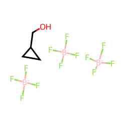 F[B-](F)(F)F.F[B-](F)(F)F.F[B-](F)(F)F.OCC1CC1